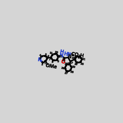 COc1cnccc1-c1ccc(NC(=O)C(NC(=O)O)C(c2ccccc2)c2ccccc2)cc1